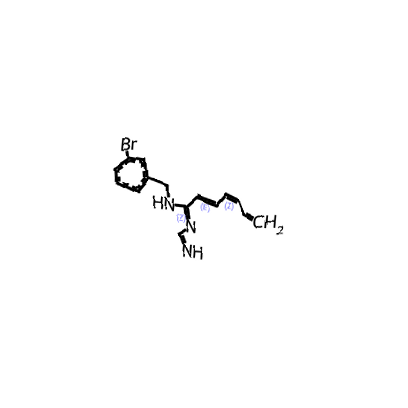 C=C\C=C/C=C/C(=N/C=N)NCc1cccc(Br)c1